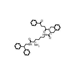 N[C@@H](CCCCNC(=O)[C@@H]1Cc2ccccc2CN1C(=O)CCC(=O)c1ccccc1)C(=O)NCC(c1ccccc1)c1ccccc1